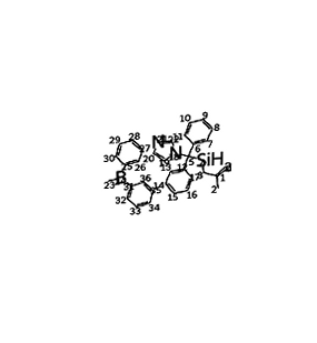 C=C(C)C[SiH2]C(c1ccccc1)(c1ccccc1)n1ccnc1.CB(c1ccccc1)c1ccccc1